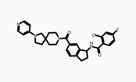 O=C(NC1CCc2ccc(C(=O)N3CCC4(CC3)CCN(c3ccncc3)C4)cc21)c1ccc(F)cc1Cl